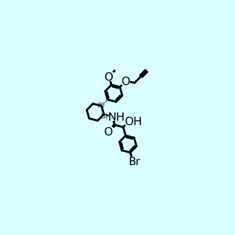 C#CCOc1ccc([C@H]2CCCC[C@@H]2NC(=O)C(O)c2ccc(Br)cc2)cc1OC